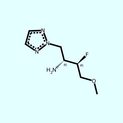 COC[C@H](F)[C@H](N)Cn1nccn1